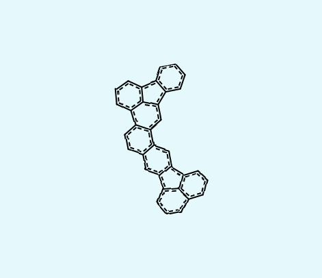 c1ccc2c(c1)c1cccc3c4ccc5cc6c(cc5c4cc2c31)c1cccc2cccc6c21